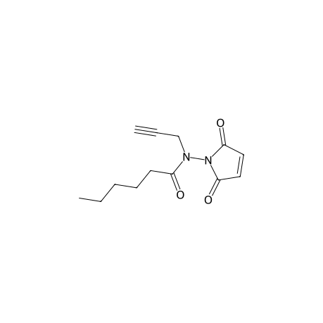 C#CCN(C(=O)CCCCC)N1C(=O)C=CC1=O